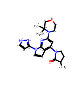 CC1CCN(c2cc(N3CCOCC3(C)C)nc3c2ccn3-c2cc[nH]n2)C1=O